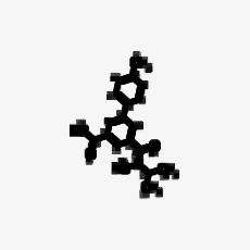 Cc1ccc(-c2cc(C(=O)O)cc(C(=O)N(O)C(C)C)c2)cc1